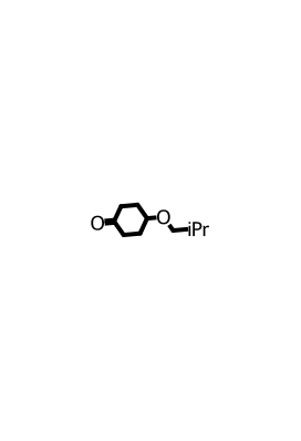 CC(C)COC1CCC(=O)CC1